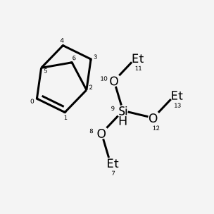 C1=CC2CCC1C2.CCO[SiH](OCC)OCC